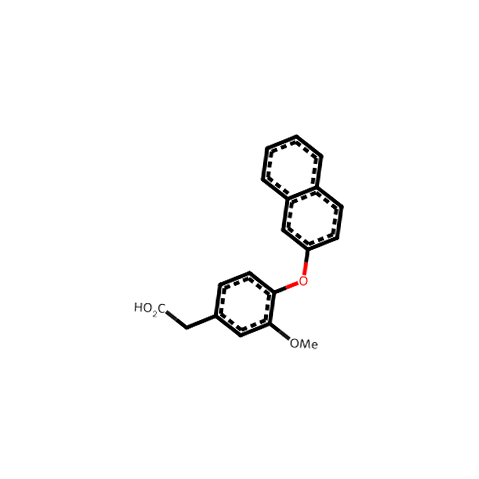 COc1cc(CC(=O)O)ccc1Oc1ccc2ccccc2c1